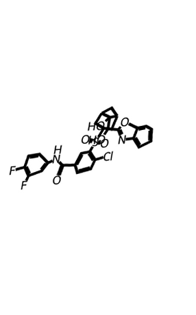 O=C(Nc1ccc(F)c(F)c1)c1ccc(Cl)c(S(=O)(=O)C2CC3CC(C2)C3(O)C(O)c2nc3ccccc3o2)c1